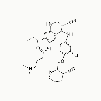 CCOc1cc2c(cc1NC(=O)CCCN(C)C)C(Nc1ccc(OCC3NCCCC3C#N)c(Cl)c1)C(C#N)CN2